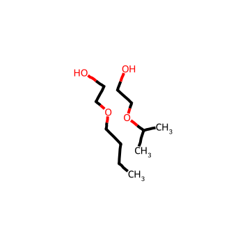 CC(C)OCCO.CCCCOCCO